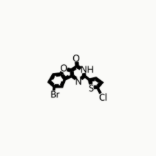 O=c1[nH]c(-c2ccc(Cl)s2)nc2c1oc1ccc(Br)cc12